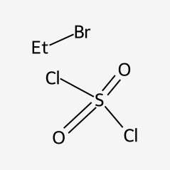 CCBr.O=S(=O)(Cl)Cl